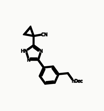 CCCCCCCCCCCc1cccc(-c2n[nH]c(C3(C#N)CC3)n2)c1